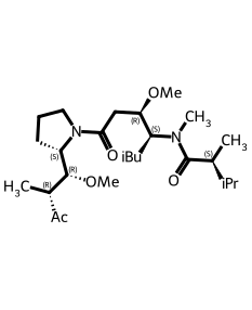 CCC(C)[C@@H]([C@@H](CC(=O)N1CCC[C@H]1[C@H](OC)[C@@H](C)C(C)=O)OC)N(C)C(=O)[C@@H](C)C(C)C